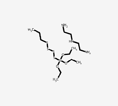 CCCSSSS[Si](OCC)(OCC)OCC.NCCNCCN